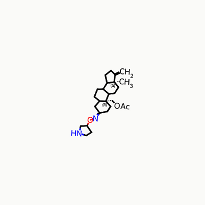 C=C1CCC2C3CCC4CC(=NOC5CCNC5)CC[C@]4(COC(C)=O)C3CC[C@]12C